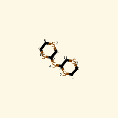 C1CSC(SC2CSCCS2)CS1